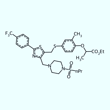 CCCS(=O)(=O)N1CCN(Cc2nc(-c3ccc(C(F)(F)F)cc3)sc2CSc2ccc(OC(C)C(=O)OCC)c(C)c2)CC1